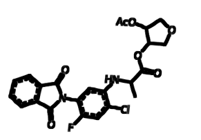 CC(=O)OC1COCC1OC(=O)C(C)Nc1cc(N2C(=O)c3ccccc3C2=O)c(F)cc1Cl